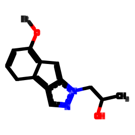 CCOC1=C2C=c3c(cnn3CC(C)O)=C2CC=C1